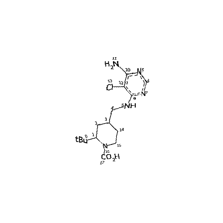 CC(C)(C)C1CC(CNc2ncnc(N)c2Cl)CCN1C(=O)O